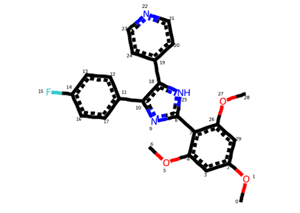 COc1cc(OC)c(-c2nc(-c3ccc(F)cc3)c(-c3ccncc3)[nH]2)c(OC)c1